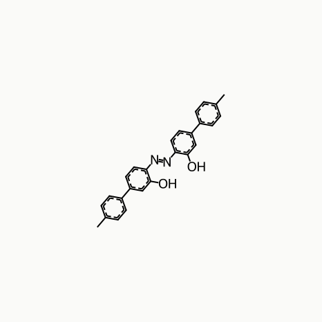 Cc1ccc(-c2ccc(N=Nc3ccc(-c4ccc(C)cc4)cc3O)c(O)c2)cc1